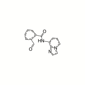 O=Cc1ccccc1C(=O)Nc1cccn2ccnc12